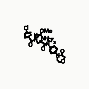 COC(=O)N[C@H](CNC(=O)c1ccc(Cl)s1)C(=O)N(c1ccc(N2CCOCC2=O)cc1)C(F)(F)F